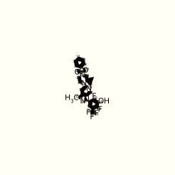 Cc1nn(-c2cc(C(F)(F)F)c(F)c(O)c2F)c2cnc(N3CCN(S(=O)(=O)c4ccccc4)CC34CC4)cc12